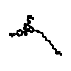 CCCCCCCCCCC#Cc1cc(C(=O)OCC)n(S(=O)(=O)c2ccc(C)cc2)c1